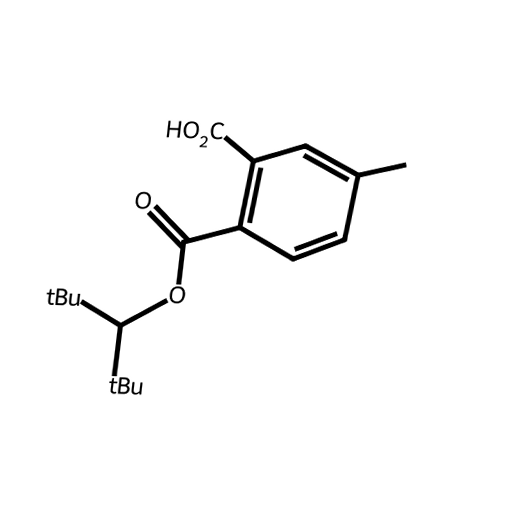 Cc1ccc(C(=O)OC(C(C)(C)C)C(C)(C)C)c(C(=O)O)c1